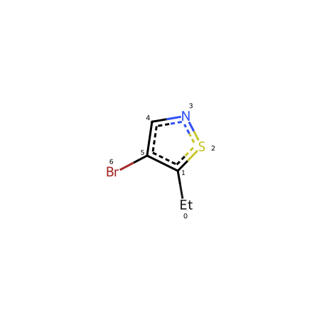 CCc1sncc1Br